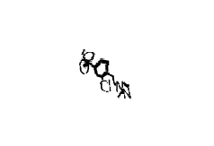 CCOC(=O)c1ccc(CCn2ccnc2C)c(Cl)c1